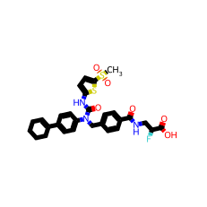 CS(=O)(=O)c1ccc(NC(=O)N(Cc2ccc(C(=O)NCC(F)C(=O)O)cc2)c2ccc(C3=CCCCC3)cc2)s1